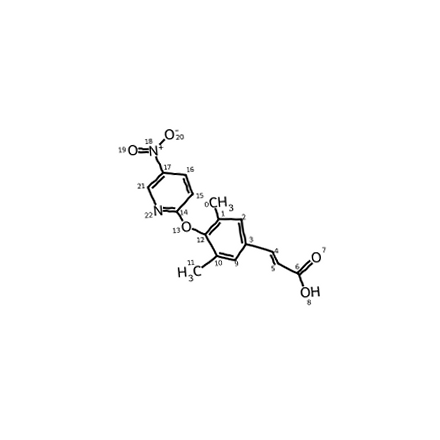 Cc1cc(/C=C/C(=O)O)cc(C)c1Oc1ccc([N+](=O)[O-])cn1